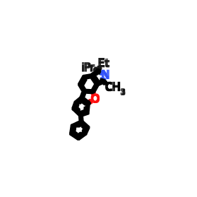 CCC1(C(C)C)N=C(C)C2=C1C=CC1c3ccc(-c4ccccc4)cc3OC21